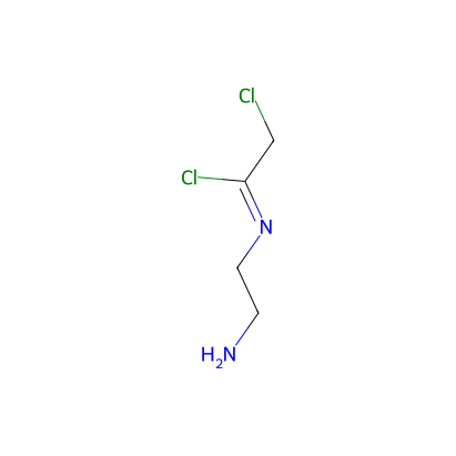 NCCN=C(Cl)CCl